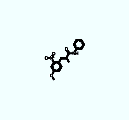 COc1ccc(/C=C(\C)C(=O)Nc2ccccc2)c([N+](=O)[O-])c1